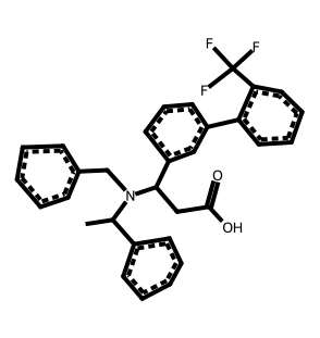 CC(c1ccccc1)N(Cc1ccccc1)C(CC(=O)O)c1cccc(-c2ccccc2C(F)(F)F)c1